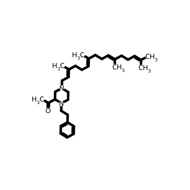 CC(=O)C1CN(C/C=C(\C)CC/C=C(\C)CC/C=C(\C)CCC=C(C)C)CCN1CCc1ccccc1